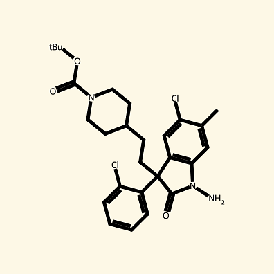 Cc1cc2c(cc1Cl)C(CCC1CCN(C(=O)OC(C)(C)C)CC1)(c1ccccc1Cl)C(=O)N2N